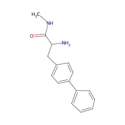 CNC(=O)C(N)Cc1ccc(-c2ccccc2)cc1